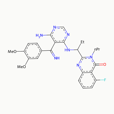 CCCn1c(C(CC)Nc2ncnc(N)c2C(=N)c2ccc(OC)c(OC)c2)nc2cccc(F)c2c1=O